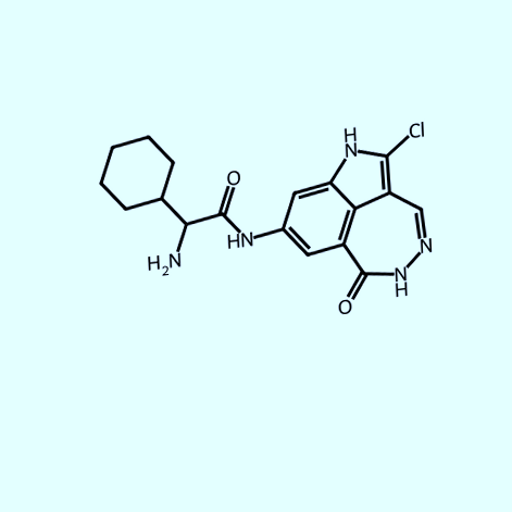 NC(C(=O)Nc1cc2c3c(c(Cl)[nH]c3c1)C=NNC2=O)C1CCCCC1